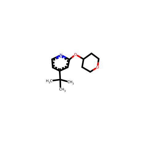 CC(C)(C)c1ccnc(OC2CCOCC2)c1